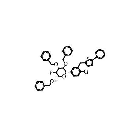 F[C@H]1[C@H](OCc2ccccc2)[C@@H](OCc2ccccc2)[C@H](c2ccc(Cl)c(Cc3ccc(-c4ccccc4)s3)c2)O[C@@H]1COCc1ccccc1